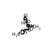 CNC(=O)[C@@H]1C[C@@H](NC(=O)C2CC=C(Cl)S2)CN1C(=O)c1cc2c(s1)CCN(C)CC2